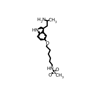 CC(N)Cc1c[nH]c2ccc(OCCCCCCNS(C)(=O)=O)cc12